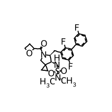 CN(C)S(=O)(=O)N[C@@H]1[C@H](Cc2cc(F)cc(-c3cccc(F)c3)c2F)N(C(=O)C2CCO2)CC12CC2